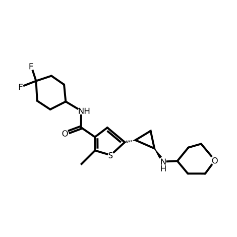 Cc1sc([C@@H]2C[C@H]2NC2CCOCC2)cc1C(=O)NC1CCC(F)(F)CC1